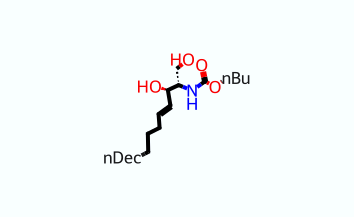 CCCCCCCCCCCCC/C=C/[C@@H](O)[C@H](CO)NC(=O)OCCCC